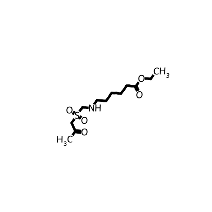 CCOC(=O)CCCCCNCS(=O)(=O)CC(C)=O